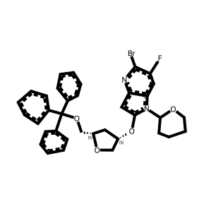 Fc1cc2c(cc(O[C@@H]3CO[C@H](COC(c4ccccc4)(c4ccccc4)c4ccccc4)C3)n2C2CCCCO2)nc1Br